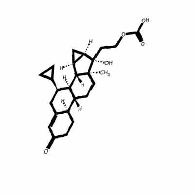 C[C@]12CC[C@H]3[C@H]([C@@H]1[C@H]1C[C@H]1[C@@]2(O)CCOC(=O)O)[C@H](C1CC1)CC1=CC(=O)CC[C@@H]13